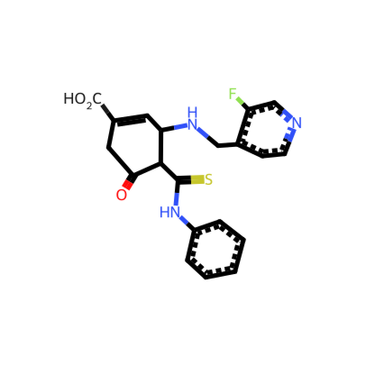 O=C(O)C1=CC(NCc2ccncc2F)C(C(=S)Nc2ccccc2)C(=O)C1